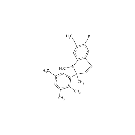 Cc1cc(C)c(C)c(C2(C)C=Cc3cc(F)c(C)cc3N2C)c1